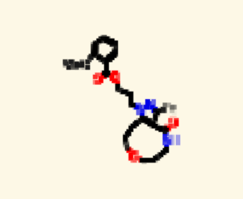 CCc1nn(CCCOC(=O)c2ccccc2OC)c2c1C(=O)NCCCOCCC2